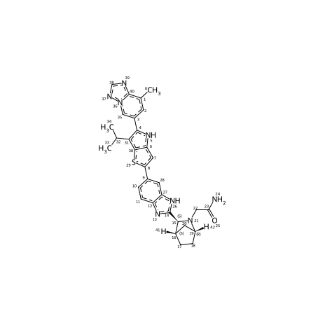 Cc1cc(-c2[nH]c3cc(-c4ccc5nc([C@@H]6[C@H]7CC[C@H](C7)N6CC(N)=O)[nH]c5c4)sc3c2C(C)C)cn2ncnc12